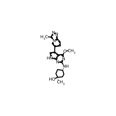 COc1nc(N[C@H]2CC[C@](C)(O)CC2)nc2[nH]cc(-c3ccc4nnc(C)n4c3)c12